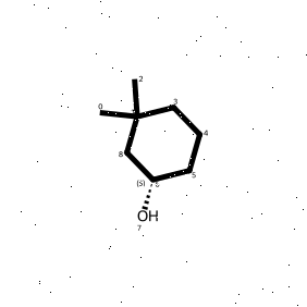 CC1(C)CCC[C@H](O)C1